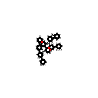 c1ccc(-c2cccc(N(c3ccc4sc5ccccc5c4c3)c3ccccc3-c3ccccc3-n3c4cc(-c5ccccc5)ccc4c4ccc(-c5ccccc5)cc43)c2)cc1